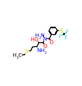 CCSCC[C@@H](N)C(O)C(=O)N(N)C(=O)c1cccc(SC(F)(F)F)c1